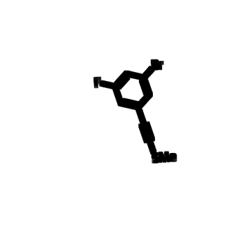 CSC#Cc1cc(F)cc(Br)c1